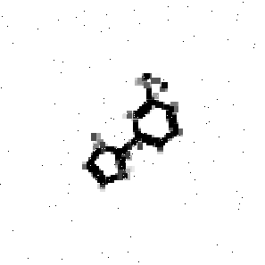 Cc1cccc(-c2ncco2)c1